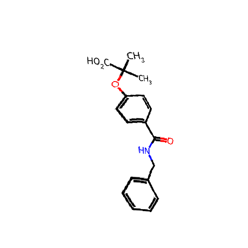 CC(C)(Oc1ccc(C(=O)NCc2ccccc2)cc1)C(=O)O